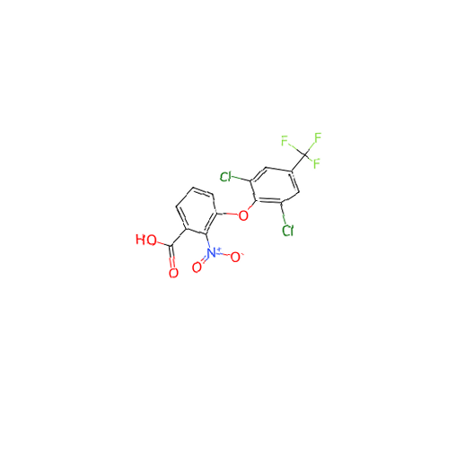 O=C(O)c1cccc(Oc2c(Cl)cc(C(F)(F)F)cc2Cl)c1[N+](=O)[O-]